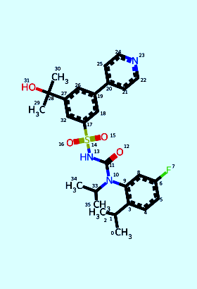 CC(C)c1ccc(F)cc1N(C(=O)NS(=O)(=O)c1cc(-c2ccncc2)cc(C(C)(C)O)c1)C(C)C